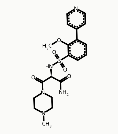 COc1c(-c2ccncc2)cccc1S(=O)(=O)N[C@@H](C(N)=O)C(=O)N1CCN(C)CC1